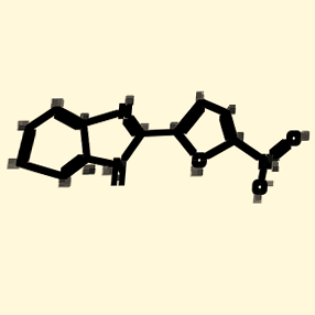 O=[N+]([O-])c1ccc(-c2nc3ccccc3[nH]2)o1